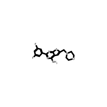 Nc1nc(-c2cc(F)cc(F)c2)nc2sc(CN3CCOCC3)cc12